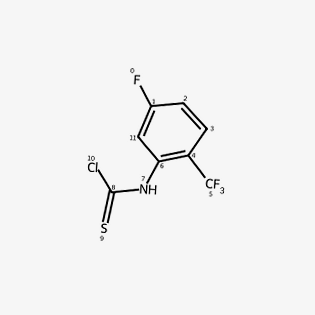 Fc1ccc(C(F)(F)F)c(NC(=S)Cl)c1